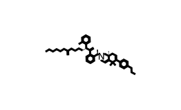 C=C(CCCCCC)CCCC[C@@H](C(=C)c1ccccc1[C@@H](C)N1CC=C2C(C)(C)C(c3ccc(CCC)cc3)=CC[C@]2(C)C1)c1ccccc1C